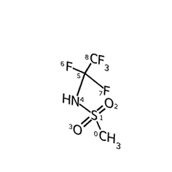 CS(=O)(=O)NC(F)(F)C(F)(F)F